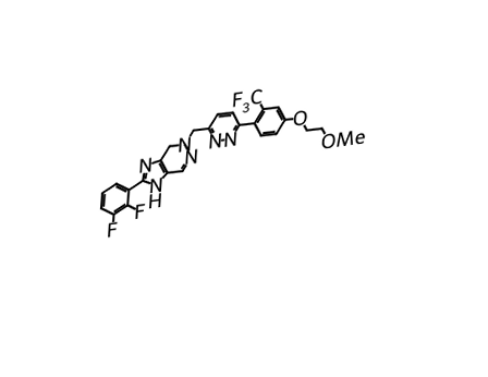 COCCOc1ccc(-c2ccc(CN3Cc4nc(-c5cccc(F)c5F)[nH]c4C=N3)nn2)c(C(F)(F)F)c1